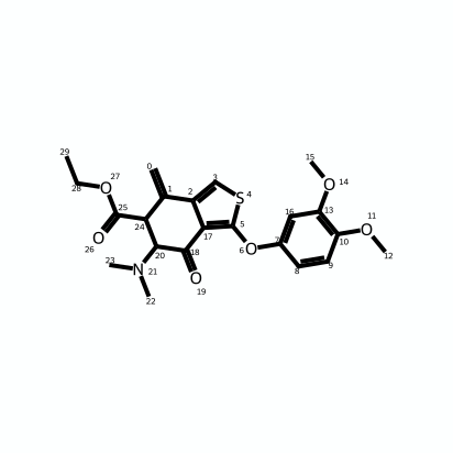 C=C1c2csc(Oc3ccc(OC)c(OC)c3)c2C(=O)C(N(C)C)C1C(=O)OCC